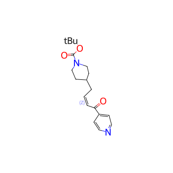 CC(C)(C)OC(=O)N1CCC(C/C=C\C(=O)c2ccncc2)CC1